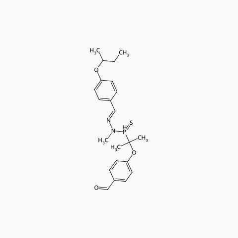 CCC(C)Oc1ccc(/C=N/N(C)[PH](=S)C(C)(C)Oc2ccc(C=O)cc2)cc1